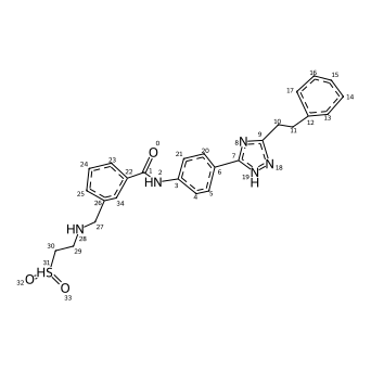 O=C(Nc1ccc(-c2nc(CCc3ccccc3)n[nH]2)cc1)c1cccc(CNCC[SH](=O)=O)c1